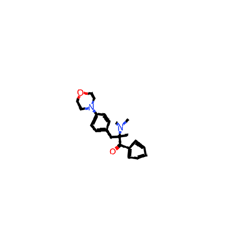 CN(C)C(C)(Cc1ccc(N2CCOCC2)cc1)C(=O)c1ccccc1